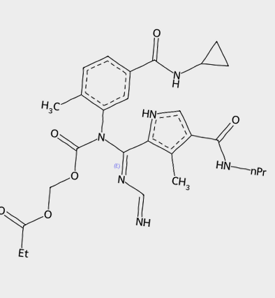 CCCNC(=O)c1c[nH]c(/C(=N\C=N)N(C(=O)OCOC(=O)CC)c2cc(C(=O)NC3CC3)ccc2C)c1C